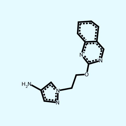 Nc1cnn(CCOc2ncc3ccccc3n2)c1